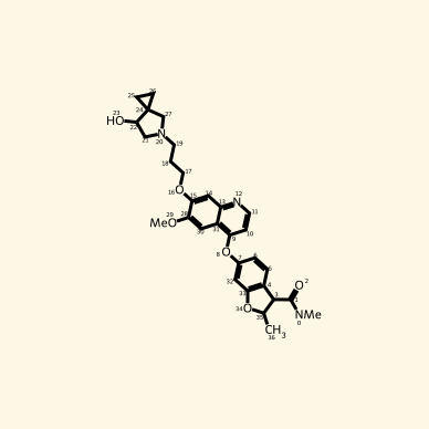 CNC(=O)C1c2ccc(Oc3ccnc4cc(OCCCN5CC(O)C6(CC6)C5)c(OC)cc34)cc2OC1C